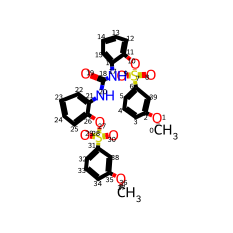 COc1cccc(S(=O)(=O)Oc2ccccc2NC(=O)Nc2ccccc2OS(=O)(=O)c2cccc(OC)c2)c1